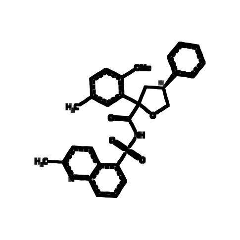 COc1ccc(C)cc1C1(C(=O)NS(=O)(=O)c2cccc3nc(C)ccc23)C[C@@H](c2ccccc2)CO1